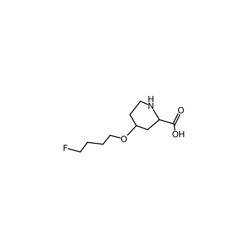 O=C(O)C1CC(OCCCCF)CCN1